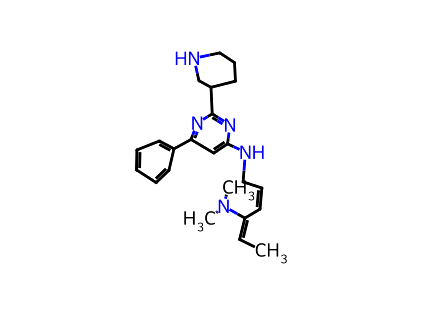 C/C=C(\C=C/CNc1cc(-c2ccccc2)nc(C2CCCNC2)n1)N(C)C